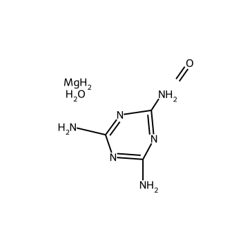 C=O.Nc1nc(N)nc(N)n1.O.[MgH2]